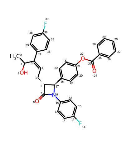 CC(O)C(=CC[C@H]1C(=O)N(c2ccc(F)cc2)[C@@H]1c1ccc(OC(=O)c2ccccc2)cc1)c1ccc(F)cc1